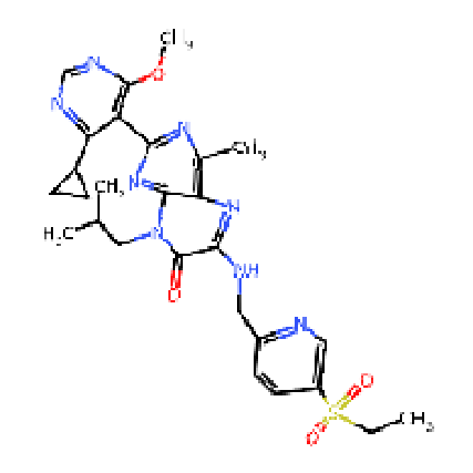 CCS(=O)(=O)c1ccc(CNc2nc3c(C)nc(-c4c(OC)ncnc4C4CC4)nc3n(CC(C)C)c2=O)nc1